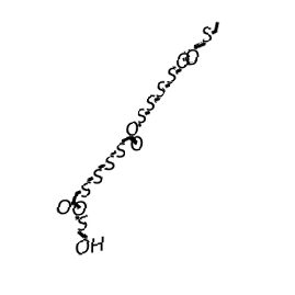 CCSCCOOCSCSCSCSCOC(=O)CSCSCSCSCC(=O)OCSCCO